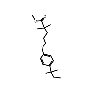 CCC(C)(C)c1ccc(OCCCC(C)(C)C(=O)OC)cc1